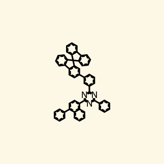 c1ccc(-c2nc(-c3cccc(-c4ccc5c(c4)C4(c6ccccc6-c6ccccc64)c4ccccc4-5)c3)nc(-c3ccc(-c4ccccc4)c4ccccc34)n2)cc1